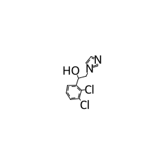 OC(Cn1ccnc1)c1cccc(Cl)c1Cl